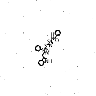 O=C(Nc1cnc(Sc2nnc(Cc3c[nH]c4ccccc34)n2-c2ccccc2)s1)c1ccccc1